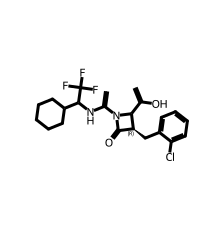 C=C(O)C1[C@@H](Cc2ccccc2Cl)C(=O)N1C(=C)NC(C1CCCCC1)C(F)(F)F